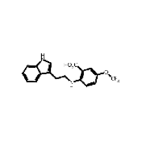 O=C(O)c1cc(OC(F)(F)F)ccc1NCCc1c[nH]c2ccccc12